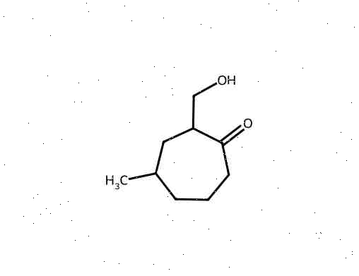 CC1CCCC(=O)C(CO)C1